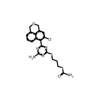 NC(=O)SCCCSc1nc(N)nc(-c2c(Cl)cc3c4c(cccc24)COC3)n1